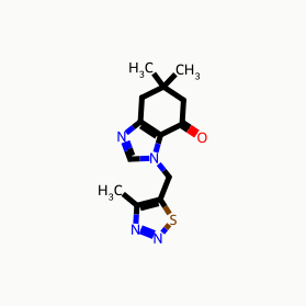 Cc1nnsc1Cn1cnc2c1C(=O)CC(C)(C)C2